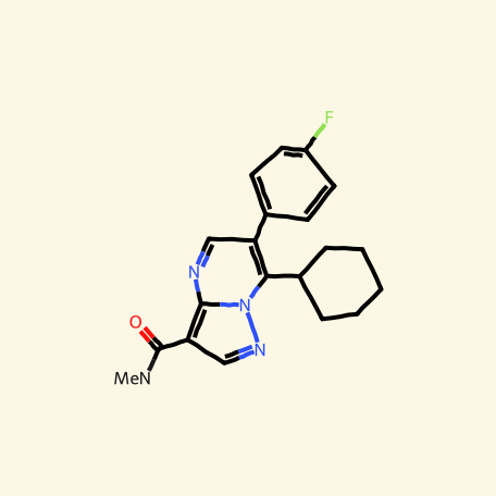 CNC(=O)c1cnn2c(C3CCCCC3)c(-c3ccc(F)cc3)cnc12